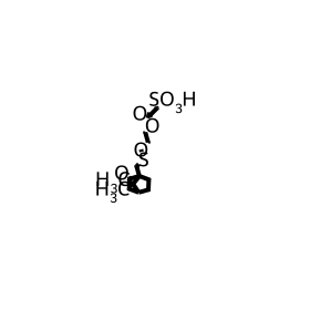 CC1(C)C2CCC1(CSOCCOC(=O)CS(=O)(=O)O)C(=O)C2